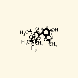 CCOC(=O)C(O[Si](C)(C)C(C)(C)C)c1ccc(O)c2nc(C)oc12